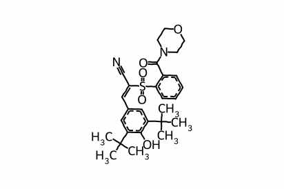 CC(C)(C)c1cc(C=C(C#N)S(=O)(=O)c2ccccc2C(=O)N2CCOCC2)cc(C(C)(C)C)c1O